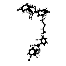 Fc1ccc2[nH]c(-c3cccc(OCCCCOc4cccc(-c5nc6ccc(F)cc6[nH]5)c4)c3)nc2c1